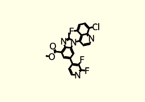 COC(=O)c1cc(-c2ccnc(F)c2F)cc2c1nc(C)n2-c1ccnc2c(Cl)ccc(F)c12